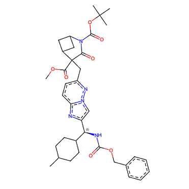 COC(=O)C1(Cc2ccc3nc([C@@H](NC(=O)OCc4ccccc4)C4CCC(C)CC4)cn3n2)C(=O)N(C(=O)OC(C)(C)C)C2CC1C2